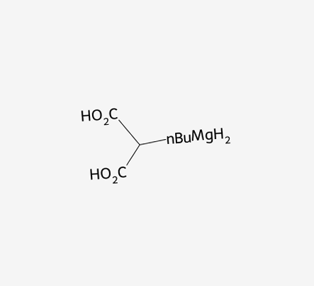 CCCCC(C(=O)O)C(=O)O.[MgH2]